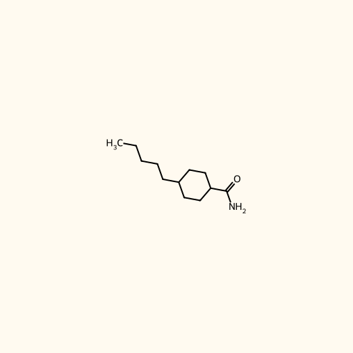 CCCCCC1CCC(C(N)=O)CC1